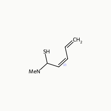 C=C/C=C\C(S)NC